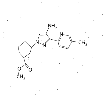 COC(=O)C1CCCC(n2cc(N)c(-c3ccc(C)cn3)n2)C1